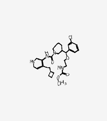 COC(=O)NCCOC(c1cccc(Cl)c1)C1CCCN(C(=O)NC2CNCCC2CC2CCC2)C1